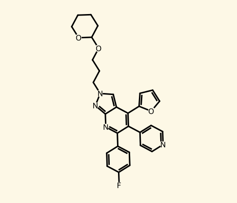 Fc1ccc(-c2nc3nn(CCCOC4CCCCO4)cc3c(-c3ccco3)c2-c2ccncc2)cc1